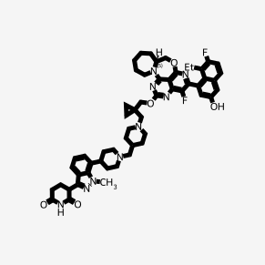 CCc1c(F)ccc2cc(O)cc(-c3nc4c5c(nc(OCC6(CN7CCC(CN8CCC(c9cccc%10c(C%11CCC(=O)NC%11=O)nn(C)c9%10)CC8)CC7)CC6)nc5c3F)N3CCCCC[C@H]3CO4)c12